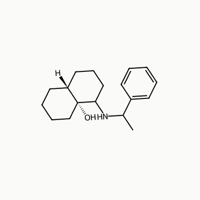 CC(NC1CCC[C@H]2CCCC[C@]12O)c1ccccc1